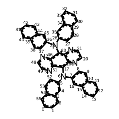 c1ccc2cc(N(c3ccc4ccccc4c3)c3c4nccnc4c(N(c4ccc5ccccc5c4)c4ccc5ccccc5c4)c4nccnc34)ccc2c1